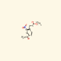 COC(=O)C=Cc1ccc(C(C)=O)cc1[N+](=O)[O-]